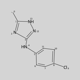 [CH2]c1nc(Nc2ccc(Cl)cc2)n[nH]1